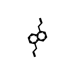 C=CCc1cccc2c(CC=C)cccc12